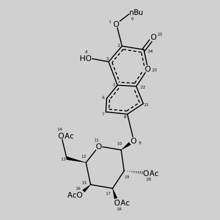 CCCCOc1c(O)c2ccc(O[C@@H]3O[C@H](COC(C)=O)[C@H](OC(C)=O)[C@H](OC(C)=O)[C@H]3OC(C)=O)cc2oc1=O